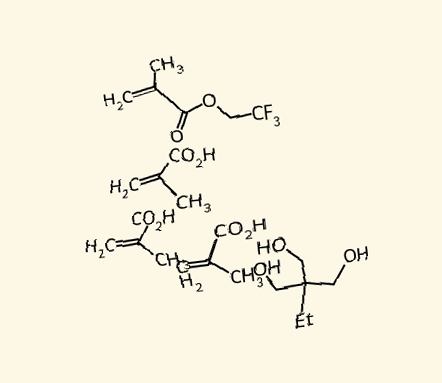 C=C(C)C(=O)O.C=C(C)C(=O)O.C=C(C)C(=O)O.C=C(C)C(=O)OCC(F)(F)F.CCC(CO)(CO)CO